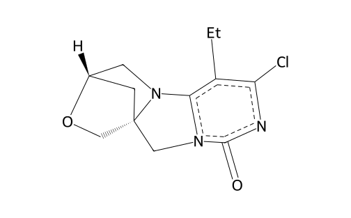 CCc1c(Cl)nc(=O)n2c1N1C[C@@H]3C[C@]1(CO3)C2